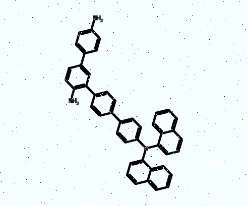 Nc1ccc(-c2ccc(N)c(-c3ccc(-c4ccc(N(c5cccc6ccccc56)c5cccc6ccccc56)cc4)cc3)c2)cc1